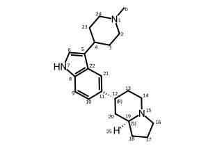 CN1CCC(c2c[nH]c3ccc([C@@H]4CCN5CCC[C@H]5C4)cc23)CC1